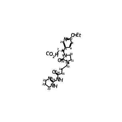 CCOc1ccc([C@@H](CC(=O)O)N2CCN(CCCC(=O)NC3=NCCCN3)C2=O)cn1